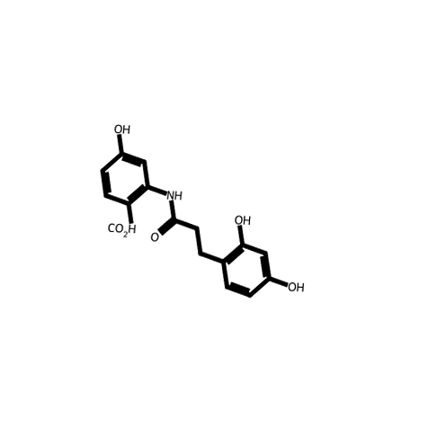 O=C(CCc1ccc(O)cc1O)Nc1cc(O)ccc1C(=O)O